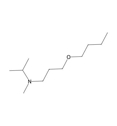 CCCCOCCCN(C)C(C)C